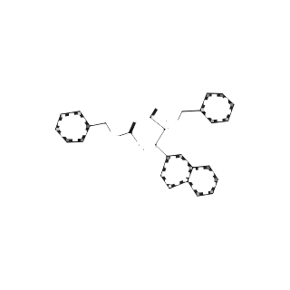 O=C[C@H](OCc1ccccc1)[C@@H](NC(=O)OCc1ccccc1)c1ccc2ccccc2c1